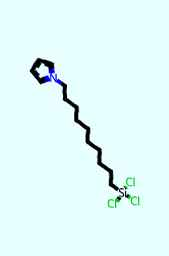 Cl[Si](Cl)(Cl)CCCCCCCCCCn1cccc1